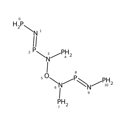 PN=PN(P)ON(P)P=NP